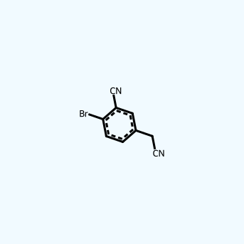 N#CCc1ccc(Br)c(C#N)c1